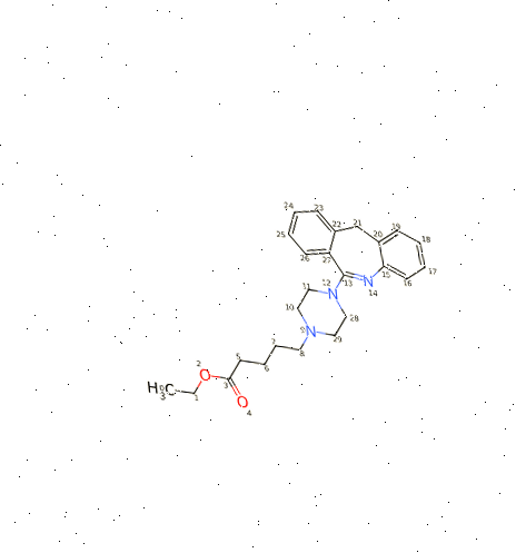 CCOC(=O)CCCCN1CCN(C2=Nc3ccccc3Cc3ccccc32)CC1